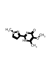 COc1c(C)[nH]c(-c2ccn(C)n2)nc1=O